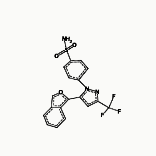 NS(=O)(=O)c1ccc(-n2nc(C(F)(F)F)cc2-c2occ3ccccc23)cc1